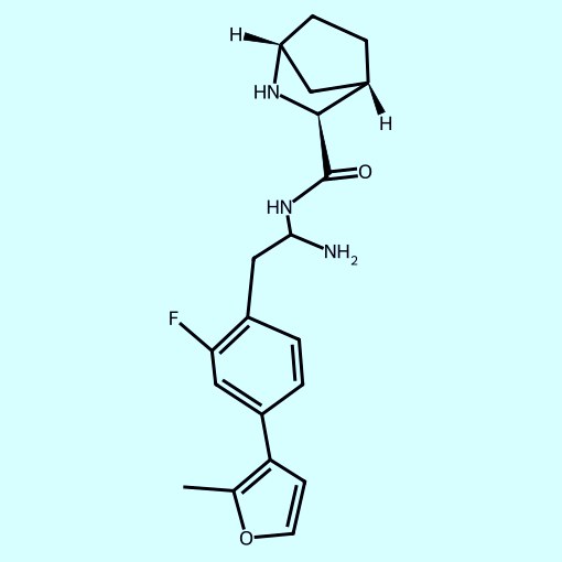 Cc1occc1-c1ccc(CC(N)NC(=O)[C@H]2N[C@@H]3CC[C@H]2C3)c(F)c1